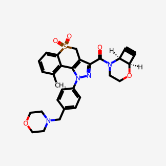 Cc1cccc2c1-c1c(c(C(=O)N3CCO[C@@H]4C#C[C@@H]43)nn1-c1ccc(CN3CCOCC3)cc1)CS2(=O)=O